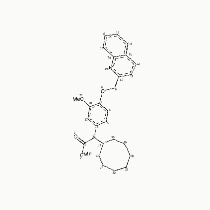 COC(=O)C(c1ccc(OCc2ccc3ccccc3n2)c(OC)c1)C1CCCCCCC1